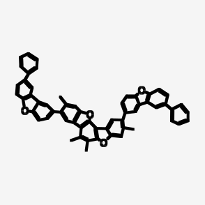 Cc1cc2oc3c(c(C)c(C)c4oc5cc(C)c(-c6ccc7oc8ccc(-c9ccccc9)cc8c7c6)cc5c43)c2cc1-c1ccc2oc3ccc(-c4ccccc4)cc3c2c1